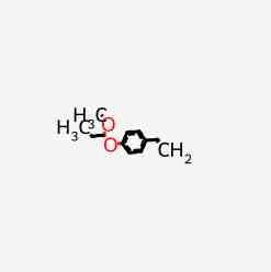 C=Cc1ccc(OC(CC)OC)cc1